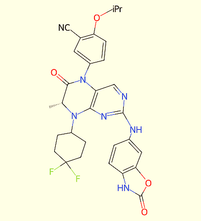 CC(C)Oc1ccc(N2C(=O)[C@@H](C)N(C3CCC(F)(F)CC3)c3nc(Nc4ccc5[nH]c(=O)oc5c4)ncc32)cc1C#N